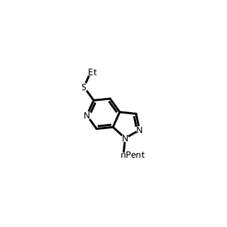 CCCCCn1ncc2cc(SCC)ncc21